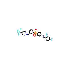 O=S(=O)(c1ccc(/C=C/c2ccc(F)cc2F)cc1)c1cccc(CN2CCC(C(F)(F)F)CC2)c1